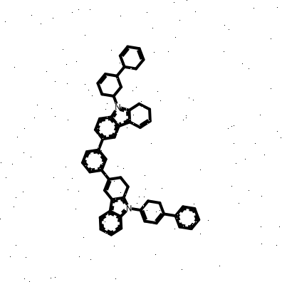 C1=CCC(C2C=CCC(n3c4c(c5cc(-c6cccc(C7=Cc8c(n(C9=CC=C(c%10ccccc%10)CC9)c9ccccc89)CC7)c6)ccc53)C=CCC4)C2)C=C1